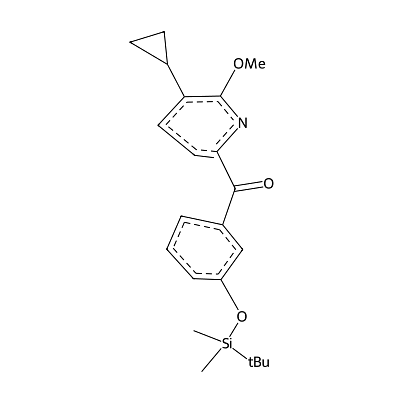 COc1nc(C(=O)c2cccc(O[Si](C)(C)C(C)(C)C)c2)ccc1C1CC1